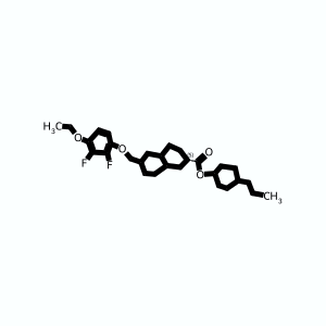 CCCC1CCC(OC(=O)[C@H]2CCC3CC(COc4ccc(OCC)c(F)c4F)CCC3C2)CC1